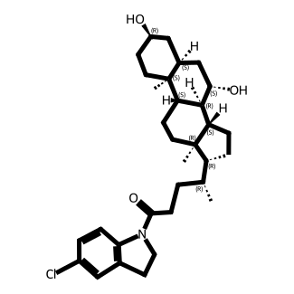 C[C@H](CCC(=O)N1CCc2cc(Cl)ccc21)[C@H]1CC[C@H]2[C@@H]3[C@@H](O)C[C@@H]4C[C@H](O)CC[C@]4(C)[C@H]3CC[C@]12C